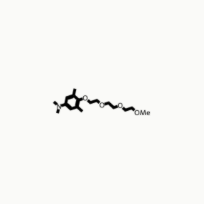 COCCOCCOCCOc1c(C)cc(N(C)C)cc1C